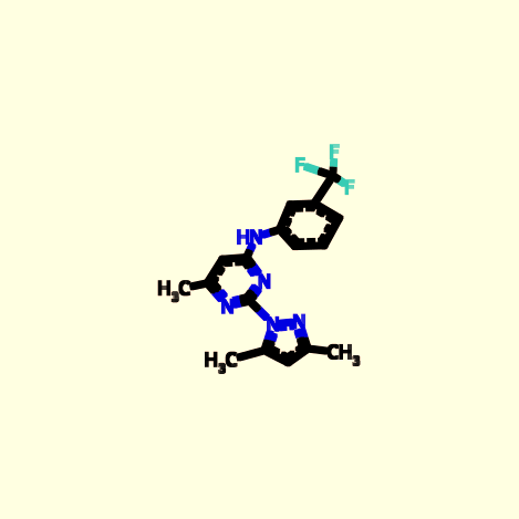 Cc1cc(Nc2cccc(C(F)(F)F)c2)nc(-n2nc(C)cc2C)n1